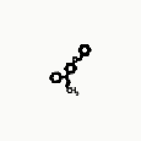 CC=CC(c1ccc(OCc2ccccc2)cc1)C1CCCCC1